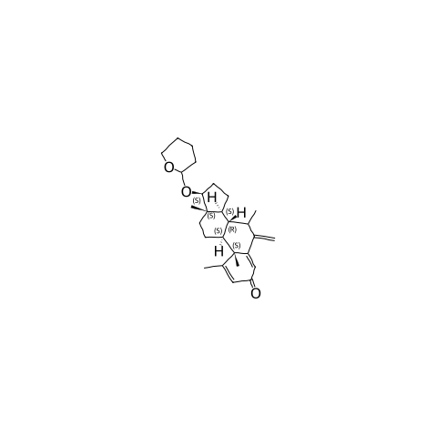 C=C1C2=CC(=O)C=C(C)[C@]2(C)[C@H]2CC[C@]3(C)[C@@H](OC4CCCCO4)CC[C@H]3[C@@H]2C1C